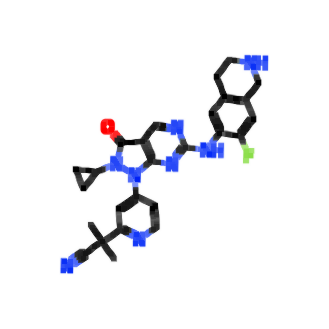 CC(C)(C#N)c1cc(-n2c3nc(Nc4cc5c(cc4F)CNCC5)ncc3c(=O)n2C2CC2)ccn1